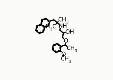 COc1ccccc1C(C)OCC(O)CNC(C)(C)Cc1ccc2ccccc2c1